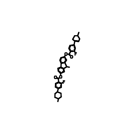 CC1CC=C(c2ccc(C(=O)Oc3ccc4c(c3)C(C)c3cc(OC(=O)c5ccc(C6CCC(C)CC6)cc5F)ccc3-4)c(F)c2)CC1